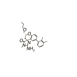 CCCOC[C@H]1C[C@]2(N=C(N)N(C)C2=O)c2cc(-c3cccc(C)c3C)ccc2O1